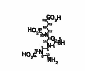 CBC(=O)CN(CCN(CCN)CC(=O)O)CCN(CCCCC(=O)O)CC(=O)O